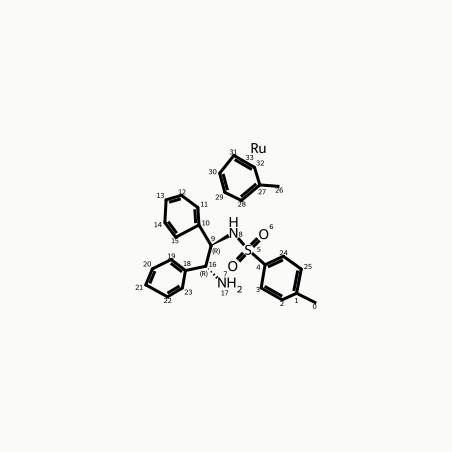 Cc1ccc(S(=O)(=O)N[C@H](c2ccccc2)[C@H](N)c2ccccc2)cc1.Cc1ccccc1.[Ru]